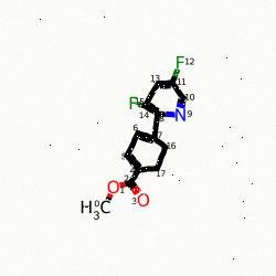 COC(=O)C1=CC=C(c2ncc(F)cc2F)CC1